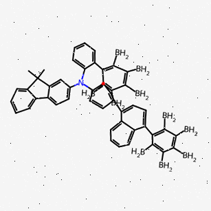 Bc1c(B)c(B)c(-c2ccccc2N(c2ccc(-c3ccc(-c4c(B)c(B)c(B)c(B)c4B)c4ccccc34)cc2)c2ccc3c(c2)C(C)(C)c2ccccc2-3)c(B)c1B